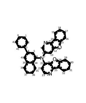 c1ccc(-c2cc(N(c3cnc4c(c3)oc3ccccc34)c3ccnc4c3oc3ccccc34)c3ccccc3c2)cc1